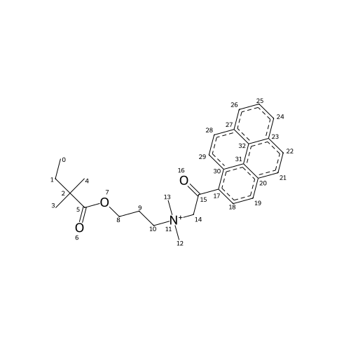 CCC(C)(C)C(=O)OCCC[N+](C)(C)CC(=O)c1ccc2ccc3cccc4ccc1c2c34